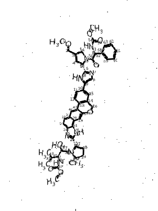 COCC1C[C@@H](c2ncc(-c3ccc4c(c3)COc3cc5c(ccc6nc([C@@H]7CC[C@H](C)N7C(O)[C@@H](NC(=O)OC)C(C)C)[nH]c65)cc3-4)[nH]2)N(C(=O)[C@H](NC(=O)OC)c2ccccc2)C1